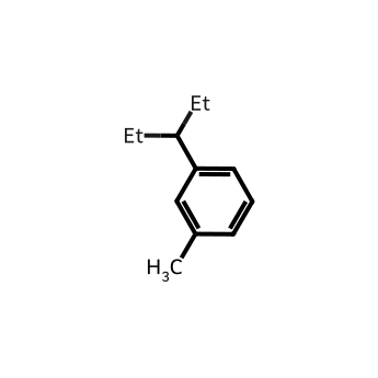 CCC(CC)c1cccc(C)c1